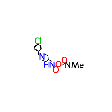 CNC(=O)COC(=O)NCC1CCN(Cc2ccc(Cl)cc2)CC1